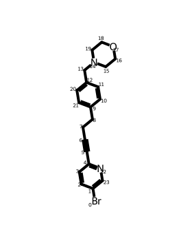 Brc1ccc(C#CCCc2ccc(CN3CCOCC3)cc2)nc1